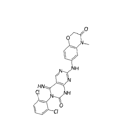 CN1C(=O)COc2ccc(Nc3ncc4c(=N)n(-c5c(Cl)cccc5Cl)c(=O)[nH]c4n3)cc21